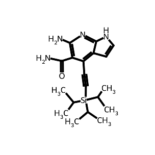 CC(C)[Si](C#Cc1c(C(N)=O)c(N)nc2[nH]ccc12)(C(C)C)C(C)C